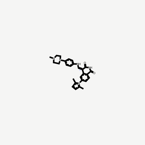 Cc1ccc(C)n1-c1ccc2c(c1)/C(=C/Nc1ccc(N3CCN(C)CC3)cc1)C(=O)NC2=O